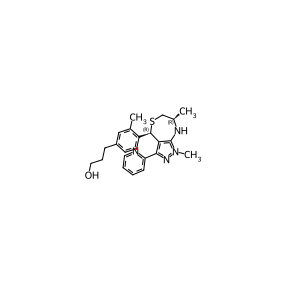 Cc1cc(CCCO)ccc1[C@H]1SC[C@@H](C)Nc2c1c(-c1ccccn1)nn2C